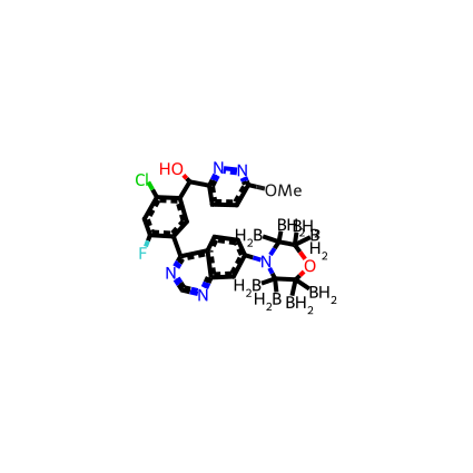 BC1(B)OC(B)(B)C(B)(B)N(c2ccc3c(-c4cc(C(O)c5ccc(OC)nn5)c(Cl)cc4F)ncnc3c2)C1(B)B